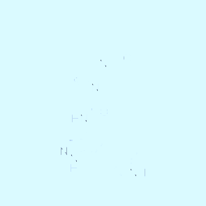 O=C(Nc1cc(-c2cccc3[nH]ccc23)cc2[nH]ncc12)c1csc(CN2CCOC3CCCCC32)n1